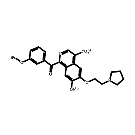 COc1cc2c(C(=O)c3cccc(OC(C)C)c3)ncc(C(=O)O)c2cc1OCCN1CCCC1